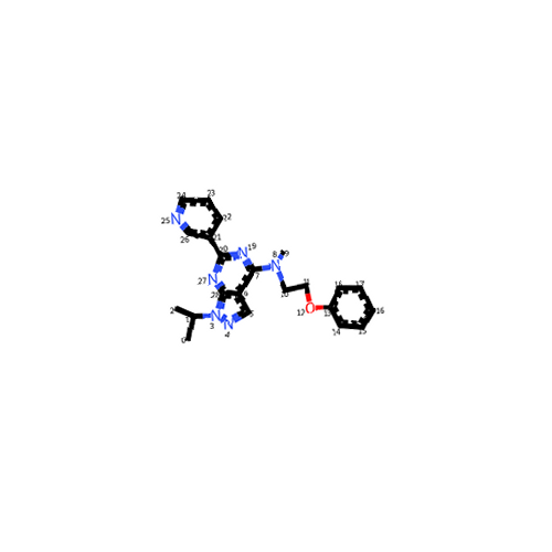 CC(C)n1ncc2c(N(C)CCOc3ccccc3)nc(-c3cccnc3)nc21